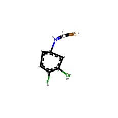 Fc1ccc(N=C=S)cc1Br